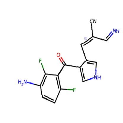 N#C/C(C=N)=C/c1c[nH]cc1C(=O)c1c(F)ccc(N)c1F